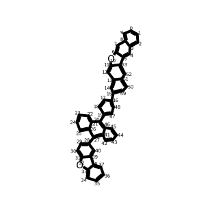 c1ccc2cc3c(cc2c1)oc1cc2cc(-c4ccc(-c5c6ccccc6c(-c6ccc7oc8ccccc8c7c6)c6ccccc56)cc4)ccc2cc13